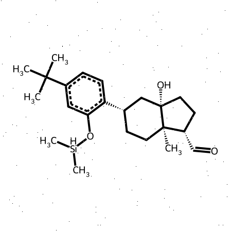 C[SiH](C)Oc1cc(C(C)(C)C)ccc1[C@H]1CC[C@]2(C)[C@@H](C=O)CC[C@]2(O)C1